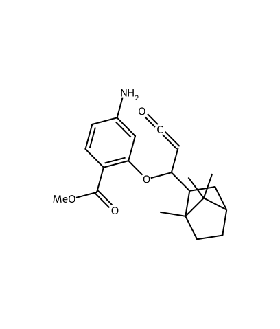 COC(=O)c1ccc(N)cc1OC(C=C=O)C1CC2CCC1(C)C2(C)C